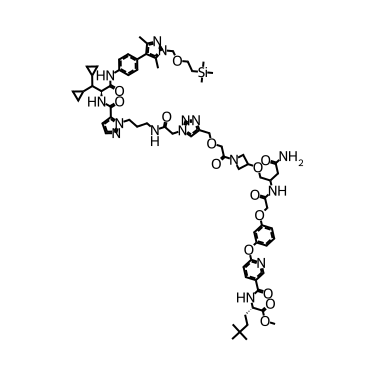 COC(=O)[C@H](CCC(C)(C)C)NC(=O)c1ccc(Oc2cccc(OCC(=O)NC(COC3CN(C(=O)COCc4cn(CC(=O)NCCCn5nccc5C(=O)N[C@H](C(=O)Nc5ccc(-c6c(C)nn(COCC[Si](C)(C)C)c6C)cc5)C(C5CC5)C5CC5)nn4)C3)CC(N)=O)c2)nc1